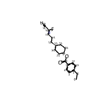 CCc1ccc(C(=O)O[C@H]2CC[C@H](CC/C=C(\F)C#N)CC2)cc1